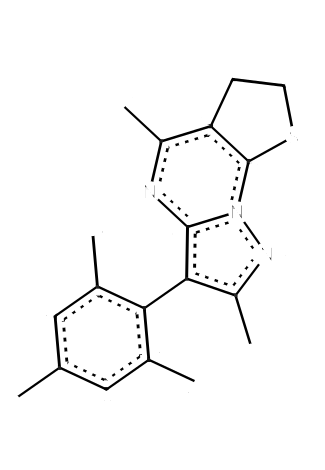 Cc1cc(C)c(-c2c(C)nn3c4c(c(C)nc23)CCS4)c(C)c1